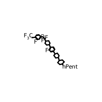 CCCCCC1CCC(C2CCC(c3ccc(C4CCC(C(F)(F)Oc5ccc(CC(F)(F)F)c(F)c5)CC4)c(F)c3)CC2)CC1